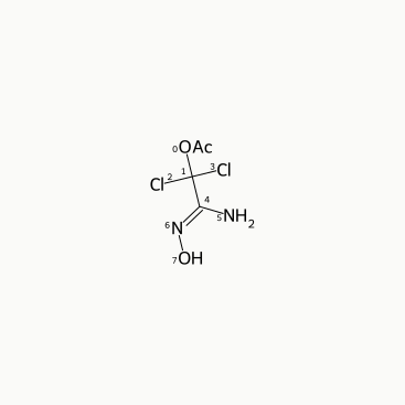 CC(=O)OC(Cl)(Cl)C(N)=NO